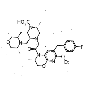 CCOc1nc2c(cc1Cc1ccc(F)cc1)N(C(=O)CN1C[C@@H](C)N(C(=O)O)C[C@@H]1CN1[C@H](C)COC[C@H]1C)[C@@H](C)CO2